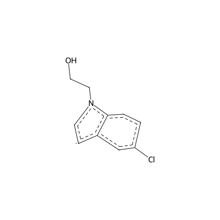 OCCn1c[c]c2cc(Cl)ccc21